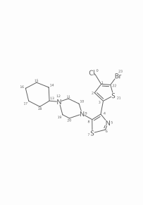 Clc1cc(-c2ncsc2N2CCN(C3CCCCC3)CC2)sc1Br